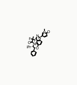 CC(C)[C@H](NC(=O)C(C)(F)F)[C@H](Oc1ccc2c(cnn2-c2ccc(=O)n(C)c2)c1)c1ccccc1